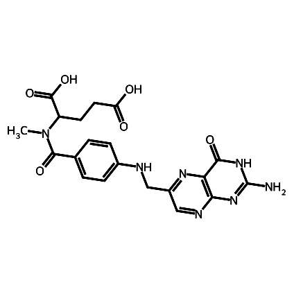 CN(C(=O)c1ccc(NCc2cnc3nc(N)[nH]c(=O)c3n2)cc1)C(CCC(=O)O)C(=O)O